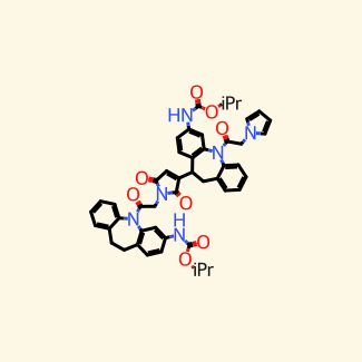 CC(C)OC(=O)Nc1ccc2c(c1)N(C(=O)CN1C(=O)C=C(C3Cc4ccccc4N(C(=O)Cn4cccc4)c4cc(NC(=O)OC(C)C)ccc43)C1=O)c1ccccc1CC2